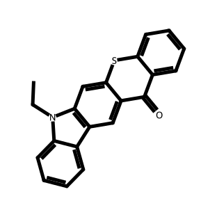 CCn1c2ccccc2c2cc3c(=O)c4ccccc4sc3cc21